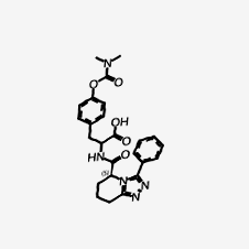 CN(C)C(=O)Oc1ccc(CC(NC(=O)[C@@H]2CCCc3nnc(-c4ccccc4)n32)C(=O)O)cc1